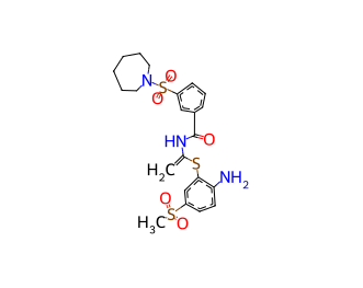 C=C(NC(=O)c1cccc(S(=O)(=O)N2CCCCCC2)c1)Sc1cc(S(C)(=O)=O)ccc1N